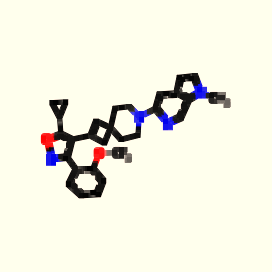 Cn1ccc2cc(N3CCC4(C=C(c5c(-c6ccccc6OC(F)(F)F)noc5C5CC5)C4)CC3)ncc21